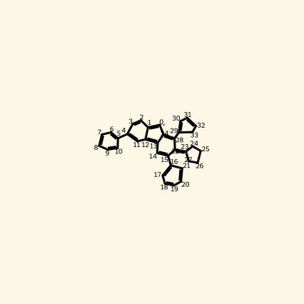 [C]1=c2ccc(-c3ccccc3)cc2=c2cc(-c3ccccc3)c(=C3CCCC3)c(C3=CC=CC3)c21